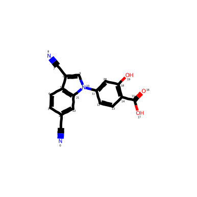 N#Cc1ccc2c(C#N)cn(-c3ccc(C(=O)O)c(O)c3)c2c1